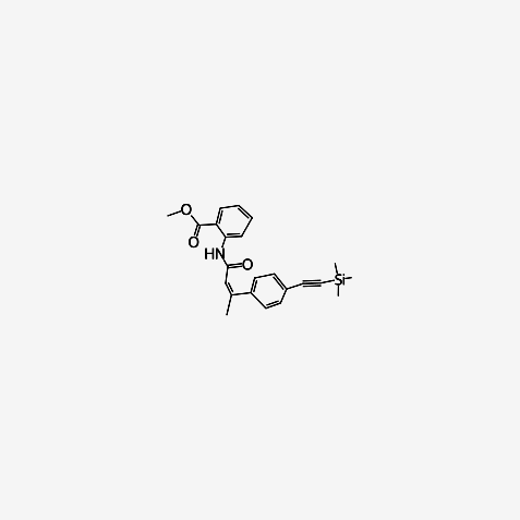 COC(=O)c1ccccc1NC(=O)/C=C(/C)c1ccc(C#C[Si](C)(C)C)cc1